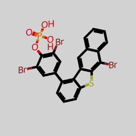 O=P(O)(O)Oc1c(Br)cc(-c2cccc3sc4c(Br)c5ccccc5cc4c23)cc1Br